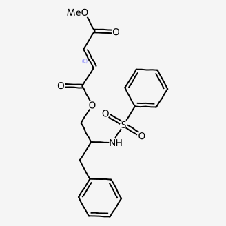 COC(=O)/C=C/C(=O)OCC(Cc1ccccc1)NS(=O)(=O)c1ccccc1